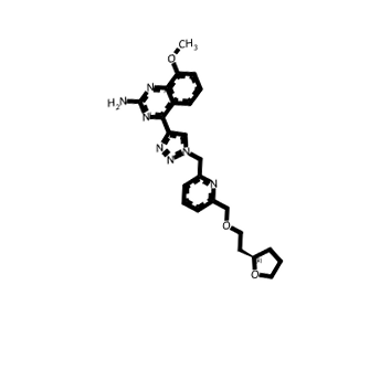 COc1cccc2c(-c3cn(Cc4cccc(COCC[C@H]5CCCO5)n4)nn3)nc(N)nc12